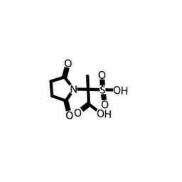 CC(C(=O)O)(N1C(=O)CCC1=O)S(=O)(=O)O